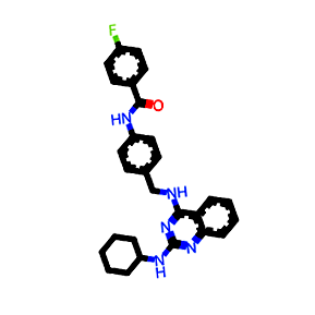 O=C(Nc1ccc(CNc2nc(NC3CCCCC3)nc3ccccc23)cc1)c1ccc(F)cc1